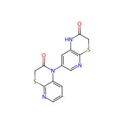 O=C1CSc2ncc(N3C(=O)CSc4nc[c]cc43)cc2N1